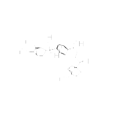 CC(CCC(C)C12CCC(C(C)C)(CC1)O2)c1cc2oc1cc2C(C)(C)C1CC2CC1C(C(C)C)C2C(C)C